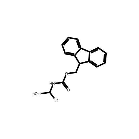 CCCCCCCCC(CC)NC(=O)OCC1c2ccccc2-c2ccccc21